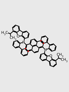 CC(C)c1cccc2c1oc1c(N(c3ccccc3-c3ccccc3)c3ccc4ccc5c(N(c6ccccc6-c6ccccc6)c6cccc7c6oc6c(C(C)C)cccc67)ccc6ccc3c4c65)cccc12